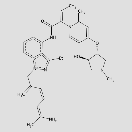 C=C(/C=C\C=C(\C)N)Cn1nc(CC)c2c(NC(=O)/C(=C/C)N3C=CC(O[C@@H]4CN(C)C[C@H]4O)=CC3=C)cccc21